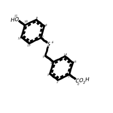 O=C(O)c1ccc(CSc2ccc(O)cc2)cc1